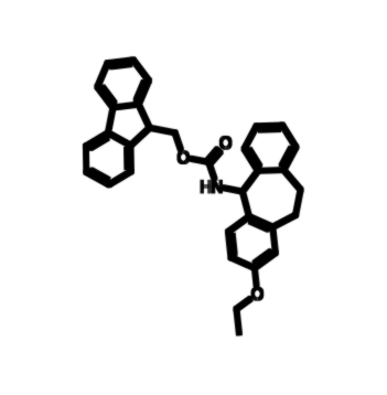 CCOc1ccc2c(c1)CCc1ccccc1C2NC(=O)OCC1c2ccccc2-c2ccccc21